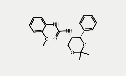 COc1ccccc1NC(=O)N[C@H]1COC(C)(C)O[C@H]1c1ccccc1